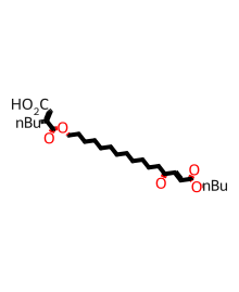 CCCCOC(=O)C=CC(=O)CCCCCCCCCCCCOC(=O)C(=CC(=O)O)CCCC